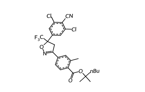 CCCCC(C)(C)OC(=O)c1ccc(C2=NOC(c3cc(Cl)c(C#N)c(Cl)c3)(C(F)(F)F)C2)cc1C